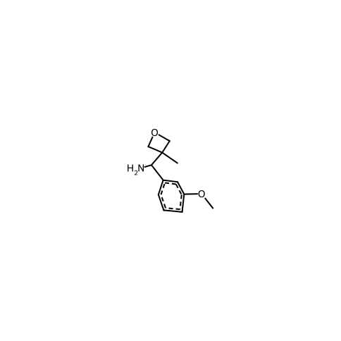 COc1cccc(C(N)C2(C)COC2)c1